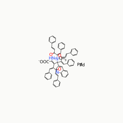 C[N+]1(C(=Cc2ccccc2)C(=O)C=Cc2ccccc2)NC(C(=O)[O-])=C(C(=Cc2ccccc2)C(=O)C=Cc2ccccc2)C1(C(=Cc1ccccc1)C(=O)C=Cc1ccccc1)c1cnc2ccccc2c1.[Pd].[Pd]